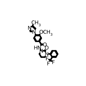 COc1cc(C(=O)NN2CCCN(c3ccccc3C(F)(F)F)C2=O)ccc1-n1cnc(C)c1